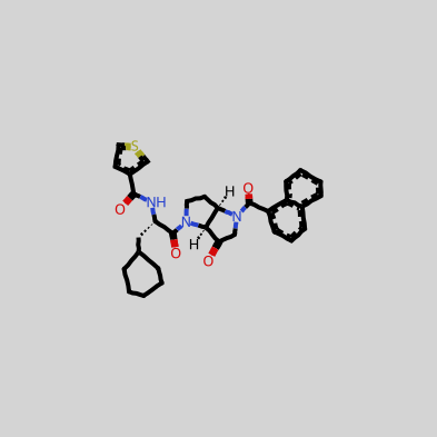 O=C(N[C@@H](CC1CCCCC1)C(=O)N1CC[C@@H]2[C@H]1C(=O)CN2C(=O)c1cccc2ccccc12)c1ccsc1